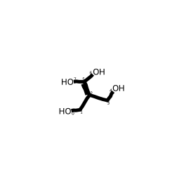 OCC(CO)=C(O)O